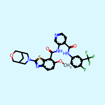 COc1ccc2nc(N3CC4COCC(C4)C3)sc2c1C(=O)Nc1cnccc1C(=O)Nc1ccc(F)c(C(F)(F)F)c1